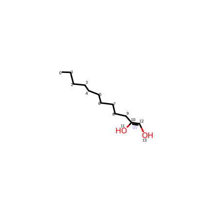 CCCCCCCCCC/C(O)=C/O